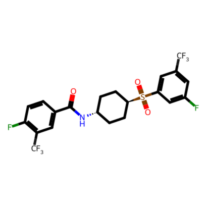 O=C(N[C@H]1CC[C@H](S(=O)(=O)c2cc(F)cc(C(F)(F)F)c2)CC1)c1ccc(F)c(C(F)(F)F)c1